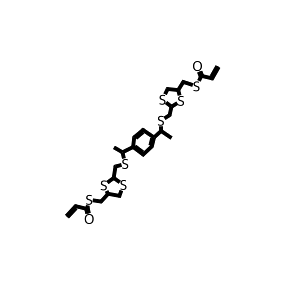 C=CC(=O)SCC1CSC(CSC(C)c2ccc(C(C)SCC3SCC(CSC(=O)C=C)S3)cc2)S1